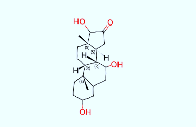 C[C@]12CCC(O)CC1CC(O)[C@@H]1[C@H]2CC[C@]2(C)C(O)C(=O)C[C@@H]12